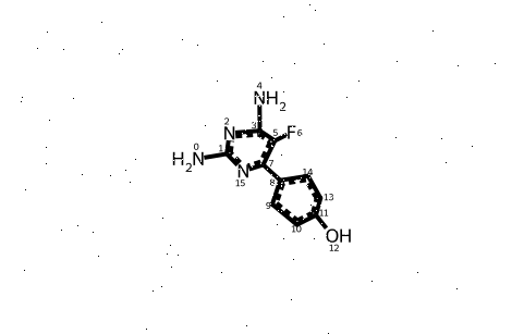 Nc1nc(N)c(F)c(-c2ccc(O)cc2)n1